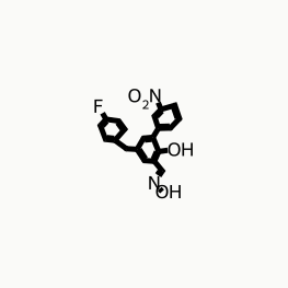 O=[N+]([O-])c1cccc(-c2cc(Cc3ccc(F)cc3)cc(/C=N/O)c2O)c1